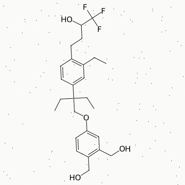 CCc1cc(C(CC)(CC)COc2ccc(CO)c(CO)c2)ccc1CCC(O)C(F)(F)F